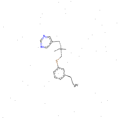 CC(C)Cc1cccc(SCC(C)(C)Cc2cncnc2)c1